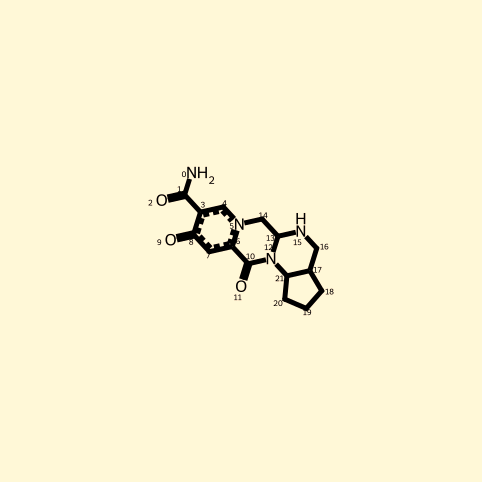 NC(=O)c1cn2c(cc1=O)C(=O)N1C(C2)NCC2CCCC21